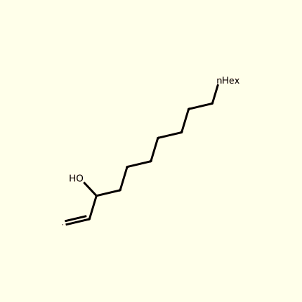 [CH]=CC(O)CCCCCCCCCCCCC